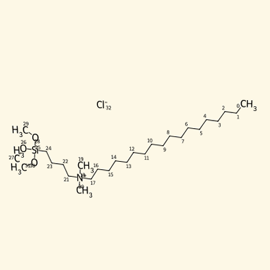 CCCCCCCCCCCCCCCCCC[N+](C)(C)CCCC[Si](OC)(OC)OC.[Cl-]